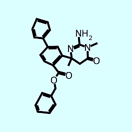 CN1C(=O)CC(C)(c2cc(-c3ccccc3)ccc2C(=O)OCc2ccccc2)N=C1N